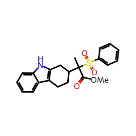 COC(=O)C(C)(C1CCc2c([nH]c3ccccc23)C1)S(=O)(=O)c1ccccc1